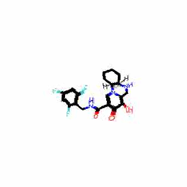 O=C(NCc1c(F)cc(F)cc1F)c1cn2c(c(O)c1=O)CN[C@@H]1CCCC[C@@H]12